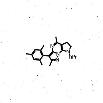 CCCN1CCc2c(C)nc3c(-c4c(C)cc(C)cc4C)c(C)nn3c21